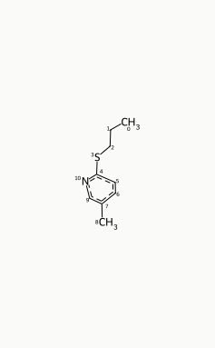 CCCSc1ccc(C)cn1